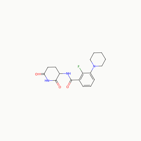 O=C1CCC(NC(=O)c2cccc(N3CCCCC3)c2F)C(=O)N1